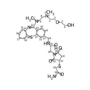 CN(CCOCCO)CCN(C)C1=Nc2ccccc2Sc2cc(CNC(O)CN3C(=O)CC(SCC(N)=O)C3=O)ccc21